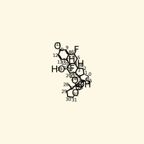 C[C@@H]1C[C@H]2[C@@H]3C[C@H](F)C4=CC(=O)C=C[C@]4(C)C3(F)[C@@H](O)C[C@]2(C)[C@@]1(OC(=O)C1(C)CCCO1)C(O)=S